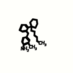 CCCCCCC1(c2ccccc2Cc2ccc(N)c(C)c2)CCCCC1